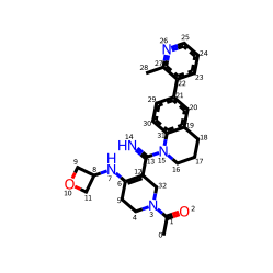 CC(=O)N1CCC(NC2COC2)=C(C(=N)N2CCCc3cc(-c4cccnc4C)ccc32)C1